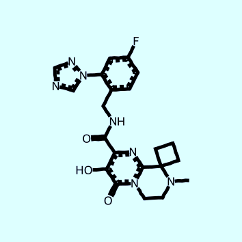 CN1CCn2c(nc(C(=O)NCc3ccc(F)cc3-n3cncn3)c(O)c2=O)C12CCC2